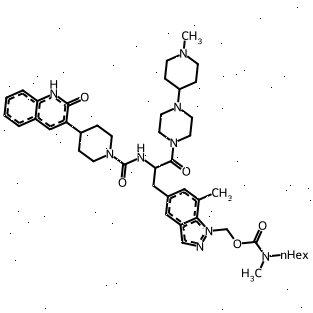 CCCCCCN(C)C(=O)OCn1ncc2cc(CC(NC(=O)N3CCC(c4cc5ccccc5[nH]c4=O)CC3)C(=O)N3CCN(C4CCN(C)CC4)CC3)cc(C)c21